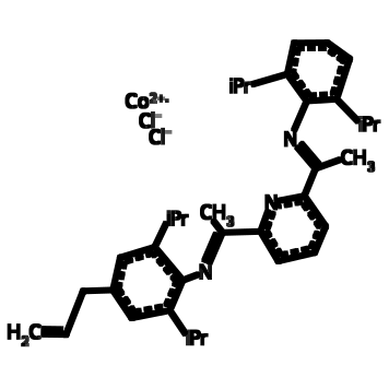 C=CCc1cc(C(C)C)c(N=C(C)c2cccc(C(C)=Nc3c(C(C)C)cccc3C(C)C)n2)c(C(C)C)c1.[Cl-].[Cl-].[Co+2]